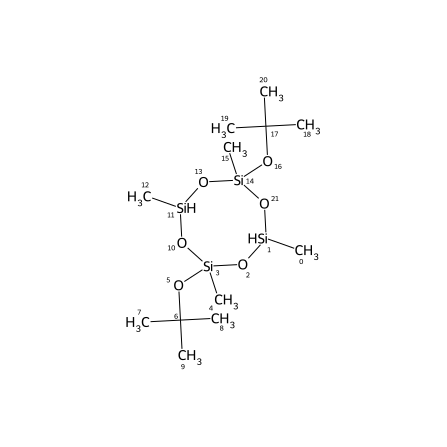 C[SiH]1O[Si](C)(OC(C)(C)C)O[SiH](C)O[Si](C)(OC(C)(C)C)O1